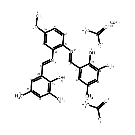 CC(=O)[O-].CC(=O)[O-].COc1ccc(N=Cc2cc(C)cc(C)c2O)c(N=Cc2cc(C)cc(C)c2O)c1.[Co+2]